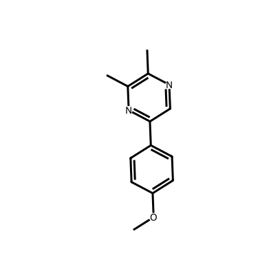 COc1ccc(-c2cnc(C)c(C)n2)cc1